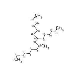 CCCCCCCC(C)[CH]C(CCCCCC)CCCCCC